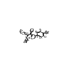 CCC(=[N+]=[N-])C(=O)Oc1ccc(Br)cc1